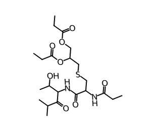 CCC(=O)NC(CSCC(COC(=O)CC)OC(=O)CC)C(=O)NC(C(=O)C(C)C)C(C)O